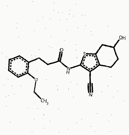 CCOc1ccccc1CCC(=O)Nc1sc2c(c1C#N)CCC(O)C2